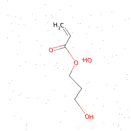 C=CC(=O)OCCCO.[OH]